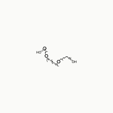 CCN(CCSSCCN(CC)c1ccc(/C=C(\C)c2cccc[n+]2CCO)cc1)c1ccc(/C=C(C)/C=C/C=C\C=N\CCO)cc1